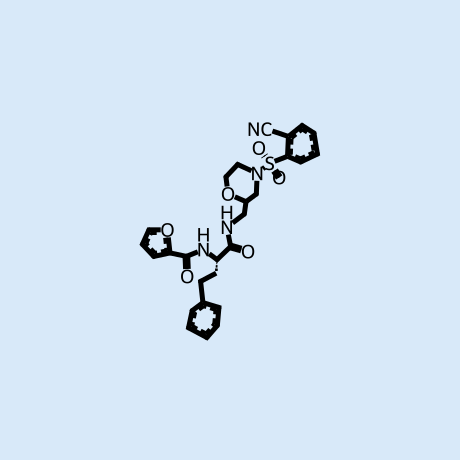 N#Cc1ccccc1S(=O)(=O)N1CCOC(CNC(=O)[C@H](CCc2ccccc2)NC(=O)c2ccco2)C1